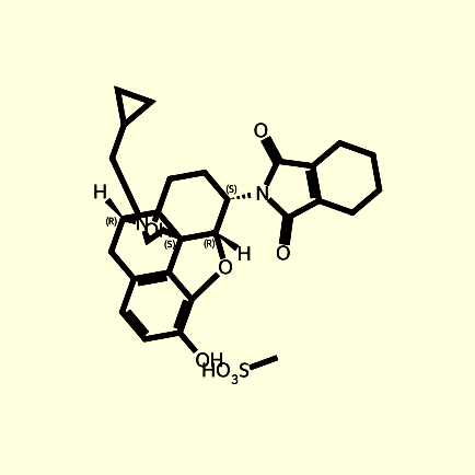 CS(=O)(=O)O.O=C1C2=C(CCCC2)C(=O)N1[C@H]1CCC2(O)[C@H]3Cc4ccc(O)c5c4[C@@]2(CCN3CC2CC2)[C@H]1O5